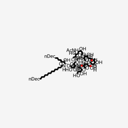 CCCCCCCCCCCCC/C=C/[C@@H](O)[C@H](CO[C@@H]1OC(CO)[C@@H](O[C@@H]2OC(CO)[C@H](O)[C@H](O[C@@H]3OC(CO)[C@@H](O[C@H]4OC(C)[C@@H](O)C(O)[C@@H]4O)[C@H](O[C@@H]4OC(CO)[C@H](O)[C@H](O[C@]5(C(=O)O)CC(O)[C@@H](NC(C)=O)C([C@H](O)[C@H](O)CO)O5)C4O)C3NC(C)=O)C2O)[C@H](O)C1O)NC(=O)CCCCCCCCCCCCCCCCCCCCCCC